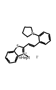 CCCCCCC[n+]1c(C=Cc2ccccc2N2CCCC2)sc2ccccc21.[I-]